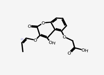 C/C=C\Oc1c(O)c2c(OCC(=O)O)cccc2oc1=O